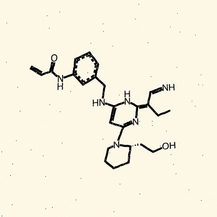 C=CC(=O)Nc1cccc(CNC2=CC(N3CCCC[C@H]3CCO)=N/C(=C(/C=N)CC)N2)c1